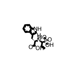 C=CC(N[C@@H](Cc1c[nH]c2ccccc12)C(=O)O)P(=O)(O)O